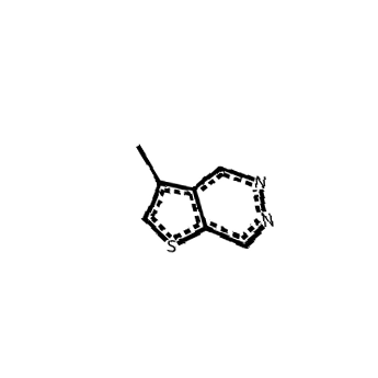 Cc1csc2cnncc12